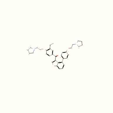 CCc1cc(C(=O)c2csc3cccc(-c4ccc(OCCN5CCCC5)cc4)c23)ccc1OCCN1CCCC1